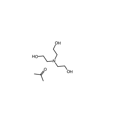 CC(C)=O.OCCN(CCO)CCO